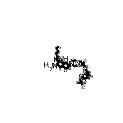 CCCCc1nc2c(N)cc3ccc(N4CCN(CC(C)(C)COCC(C)(C)CC(=O)OC(C)(C)C)CC4)cc3c2[nH]1